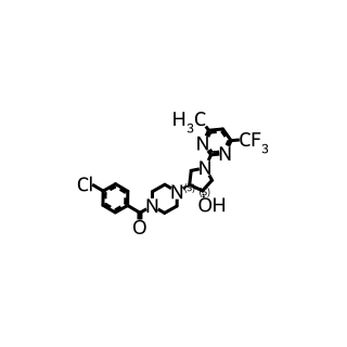 Cc1cc(C(F)(F)F)nc(N2C[C@H](O)[C@@H](N3CCN(C(=O)c4ccc(Cl)cc4)CC3)C2)n1